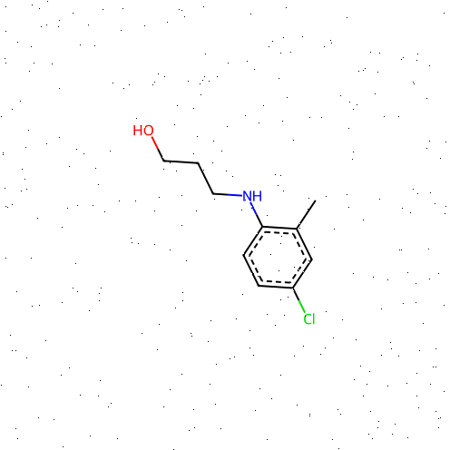 Cc1cc(Cl)ccc1NCCCO